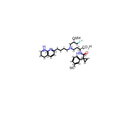 CO[C@H](CF)CN(CCCCc1ccc2c(n1)NCCC2)CC[C@H](NC(=O)C1(c2cccc(C#N)c2)CC1)C(=O)O